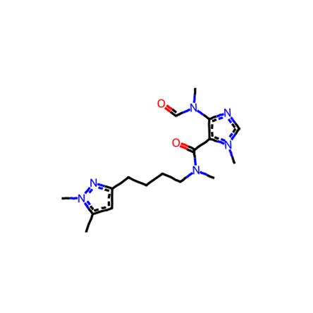 Cc1cc(CCCCN(C)C(=O)c2c(N(C)C=O)ncn2C)nn1C